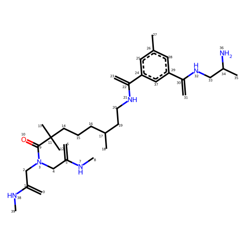 C=C(CN(CC(=C)NC)C(=O)C(C)(C)CCCC(C)CCNC(=C)c1cc(C)cc(C(=C)NCC(C)N)c1)NC